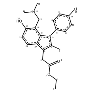 CCOC(=O)Cc1c(C)n(-c2ccc(Cl)cc2)c2c(CN(C)C)c(O)ccc12